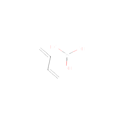 C=CC=C.OB(O)O